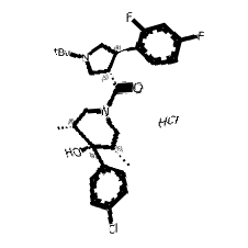 C[C@@H]1CN(C(=O)[C@@H]2CN(C(C)(C)C)C[C@H]2c2ccc(F)cc2F)C[C@H](C)[C@]1(O)c1ccc(Cl)cc1.Cl